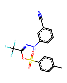 Cc1ccc(S(=O)(=O)O/C(=N\Nc2cccc(C#N)c2)C(F)(F)F)cc1